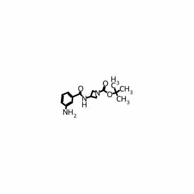 CC(C)(C)OC(=O)N1CC(NC(=O)c2cccc(N)c2)C1